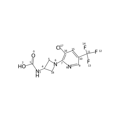 O=C(O)NC1CN(c2ncc(C(F)(F)F)cc2Cl)C1